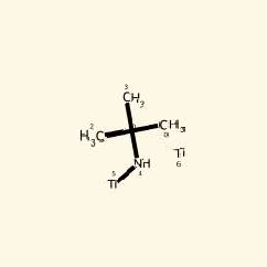 CC(C)(C)[NH][Ti].[Ti]